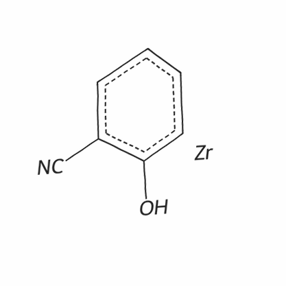 N#Cc1ccccc1O.[Zr]